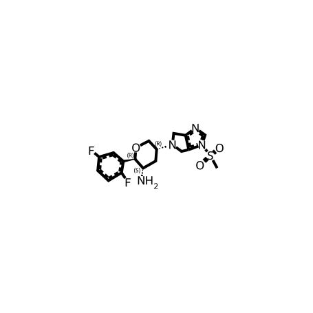 CS(=O)(=O)n1cnc2c1CN([C@H]1CO[C@H](c3cc(F)ccc3F)[C@@H](N)C1)C2